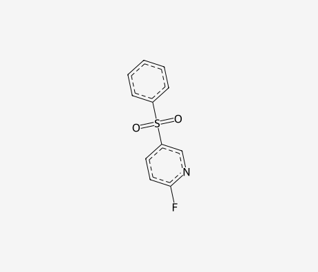 O=S(=O)(c1ccccc1)c1ccc(F)nc1